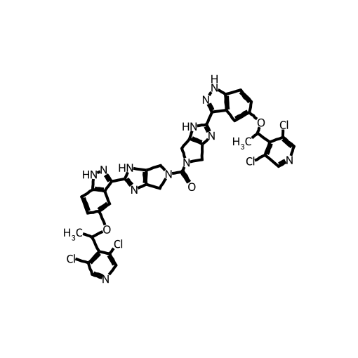 CC(Oc1ccc2[nH]nc(-c3nc4c([nH]3)CN(C(=O)N3Cc5nc(-c6n[nH]c7ccc(OC(C)c8c(Cl)cncc8Cl)cc67)[nH]c5C3)C4)c2c1)c1c(Cl)cncc1Cl